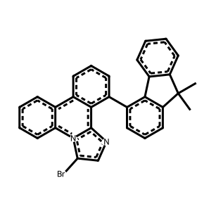 CC1(C)c2ccccc2-c2c(-c3cccc4c5ccccc5n5c(Br)cnc5c34)cccc21